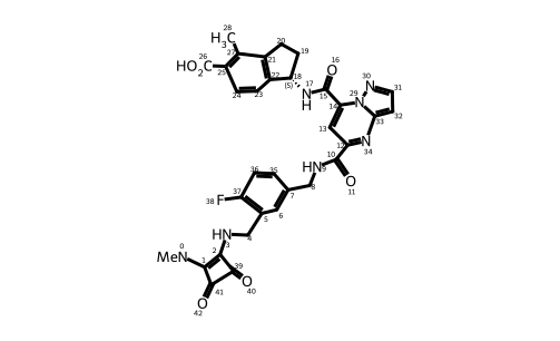 CNc1c(NCc2cc(CNC(=O)c3cc(C(=O)N[C@H]4CCc5c4ccc(C(=O)O)c5C)n4nccc4n3)ccc2F)c(=O)c1=O